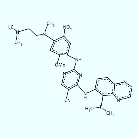 COc1cc(N(C)CCN(C)C)c([N+](=O)[O-])cc1Nc1ncc(C#N)c(Nc2ccc3nccnc3c2P(C)C)n1